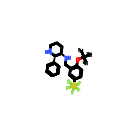 [2H]C([2H])([2H])Oc1ccc(S(F)(F)(F)(F)F)cc1CN[C@H]1CCCN[C@H]1c1ccccc1